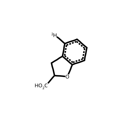 [2H]c1cccc2c1CC(C(=O)O)O2